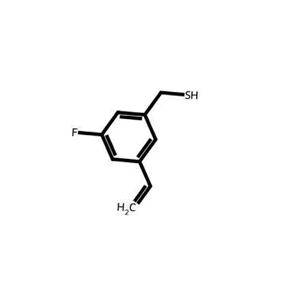 C=Cc1cc(F)cc(CS)c1